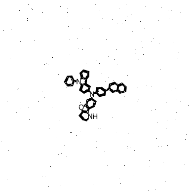 C1=Cc2oc3cc(N(c4ccc(-c5ccc6ccccc6c5)cc4)c4ccc5c(c4)c4ccccc4n5-c4ccccc4)ccc3c2NC1